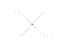 CC(C)(P)Cl